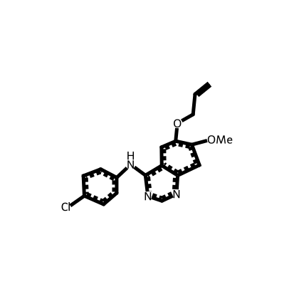 C=CCOc1cc2c(Nc3ccc(Cl)cc3)ncnc2cc1OC